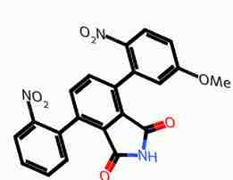 COc1ccc([N+](=O)[O-])c(-c2ccc(-c3ccccc3[N+](=O)[O-])c3c2C(=O)NC3=O)c1